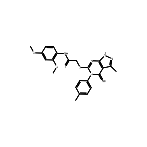 COc1ccc(NC(=O)CSc2nc3[nH]nc(C)c3c(=N)n2-c2ccc(C)cc2)c(OC)c1